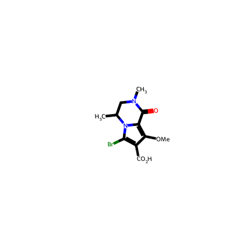 COc1c(C(=O)O)c(Br)n2c1C(=O)N(C)CC2C